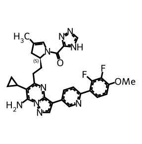 COc1ccc(-c2ccc(-c3cnn4c(N)c(C5CC5)c(CC[C@H]5CC(C)=CN5C(=O)c5nnc[nH]5)nc34)cn2)c(F)c1F